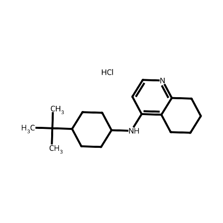 CC(C)(C)C1CCC(Nc2ccnc3c2CCCC3)CC1.Cl